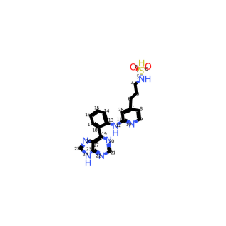 O=[SH](=O)NCCCc1ccnc(Nc2ccccc2-c2ncnc3[nH]cnc23)c1